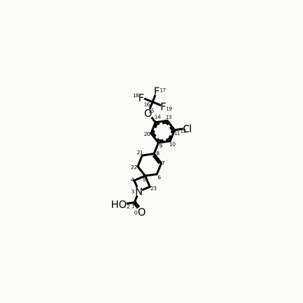 O=C(O)N1CC2(CC=C(c3cc(Cl)cc(OC(F)(F)F)c3)CC2)C1